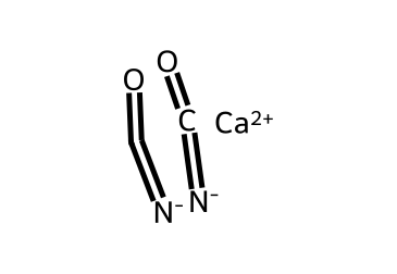 [Ca+2].[N-]=C=O.[N-]=C=O